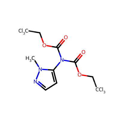 Cn1nccc1N(C(=O)OCC(Cl)(Cl)Cl)C(=O)OCC(Cl)(Cl)Cl